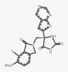 COc1ccc2c(c1F)C(=O)N(C[C@@]1(c3cc4cncnc4o3)NC(=O)NC1=O)C2